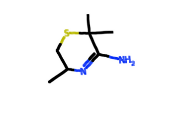 CC1CSC(C)(C)C(N)=N1